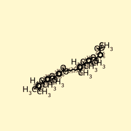 COC(=O)c1cccc(C(=O)Oc2ccc(C(C)(C)c3ccc(CCCCOC(=O)c4ccc(C(=O)Oc5ccc(C(C)(C)c6ccc(C)c(C)c6)cc5C)cc4)c(C)c3)cc2C)c1